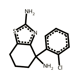 Nc1nc2c(s1)CCCC2(N)c1ccccc1Cl